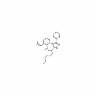 C=C/C=C\C=C/C(=C)c1nnc(-c2ccccc2)n1-c1cccc(/C=N\C)c1C=C